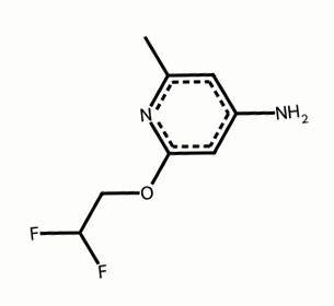 Cc1cc(N)cc(OCC(F)F)n1